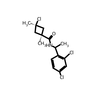 CC(NC(=O)[C@]1(C)C[C@](C)(Cl)C1)c1ccc(Cl)cc1Cl